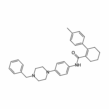 Cc1ccc(C2=C(C(=O)Nc3ccc(N4CCN(Cc5ccccc5)CC4)cc3)CCCC2)cc1